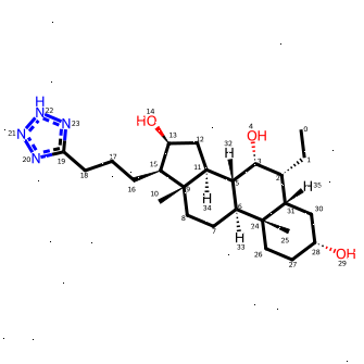 CC[C@H]1[C@@H](O)[C@@H]2[C@H](CC[C@@]3(C)[C@H]2C[C@H](O)[C@@H]3CCCc2nn[nH]n2)[C@@]2(C)CC[C@@H](O)C[C@@H]12